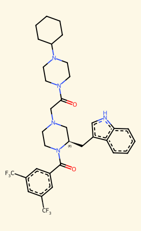 O=C(CN1CCN(C(=O)c2cc(C(F)(F)F)cc(C(F)(F)F)c2)[C@H](Cc2c[nH]c3ccccc23)C1)N1CCN(C2CCCCC2)CC1